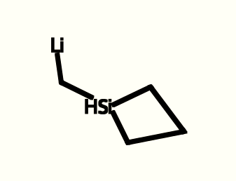 [Li][CH2][SiH]1CCC1